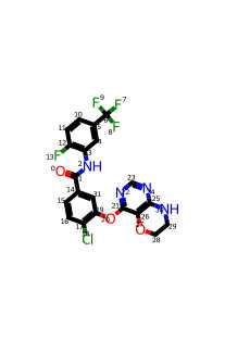 O=C(Nc1cc(C(F)(F)F)ccc1F)c1ccc(Cl)c(Oc2ncnc3c2OCCN3)c1